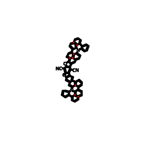 N#Cc1c2oc3cc4cc(N(c5ccccc5-c5ccccc5)c5ccccc5-c5ccccc5)ccc4cc3c2c(C#N)c2c1oc1cc3cc(N(c4ccccc4-c4ccccc4)c4ccccc4-c4ccccc4)ccc3cc12